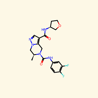 C[C@H]1Cn2ncc(C(=O)N[C@H]3CCOC3)c2CN1C(=O)Nc1ccc(F)c(F)c1